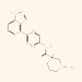 N#CN1CCCC(F)(C(=O)Nc2cnc(-c3cccc4[nH]ncc34)cn2)C1